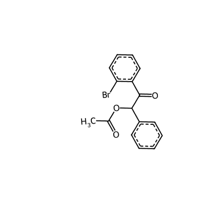 CC(=O)OC(C(=O)c1ccccc1Br)c1ccccc1